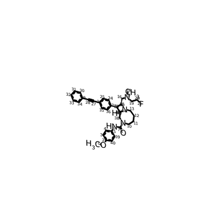 COc1ccc(NC(=O)N2CCCCN3[C@H](CN(C)CCF)[C@H](c4ccc(C#Cc5ccccc5)cc4)[C@@H]3C2)cc1